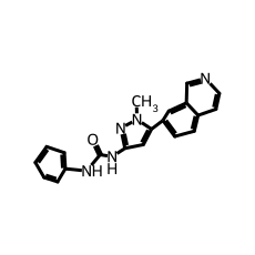 Cn1nc(NC(=O)Nc2ccccc2)cc1-c1ccc2ccncc2c1